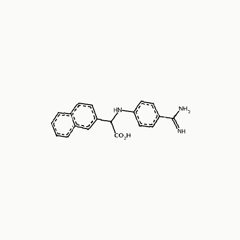 N=C(N)c1ccc(NC(C(=O)O)c2ccc3ccccc3c2)cc1